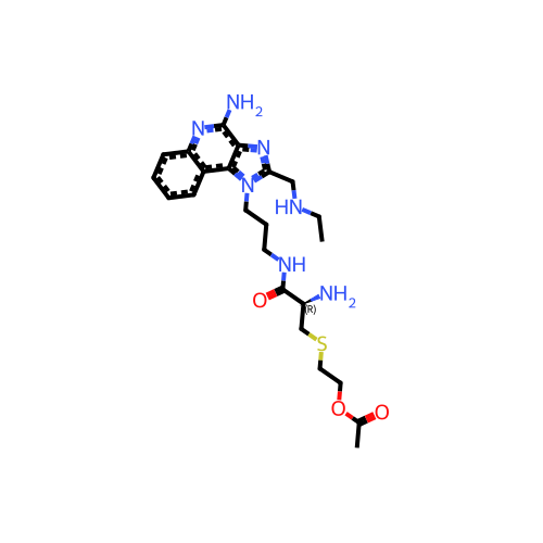 CCNCc1nc2c(N)nc3ccccc3c2n1CCCNC(=O)[C@@H](N)CSCCOC(C)=O